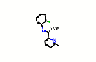 CSC(=Nc1ccccc1Cl)c1cccc(C)n1